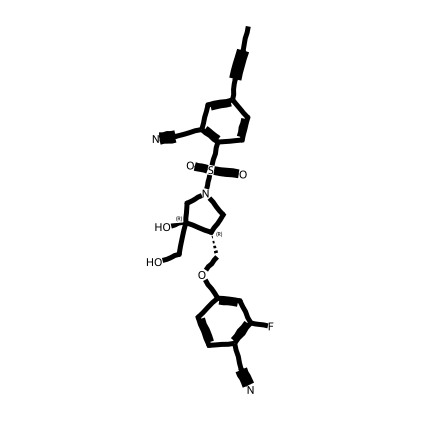 CC#Cc1ccc(S(=O)(=O)N2C[C@H](COc3ccc(C#N)c(F)c3)[C@](O)(CO)C2)c(C#N)c1